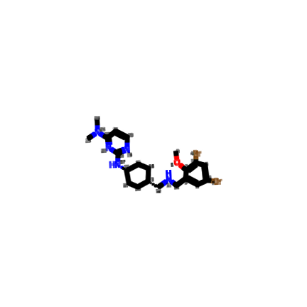 COc1c(Br)cc(Br)cc1CNC[C@H]1CC[C@@H](Nc2nccc(N(C)C)n2)CC1